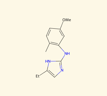 CCc1cnc(Nc2cc(OC)ccc2C)[nH]1